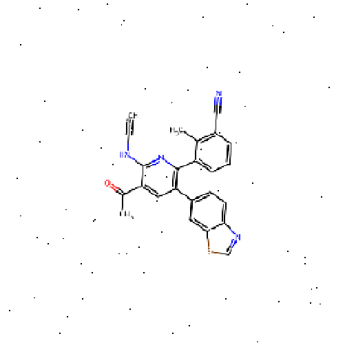 C#CNc1nc(-c2cccc(C#N)c2C)c(-c2ccc3ncsc3c2)cc1C(C)=O